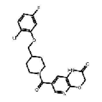 O=C1COc2ncc(C(=O)N3CCC(COc4cc(F)ccc4Cl)CC3)cc2N1